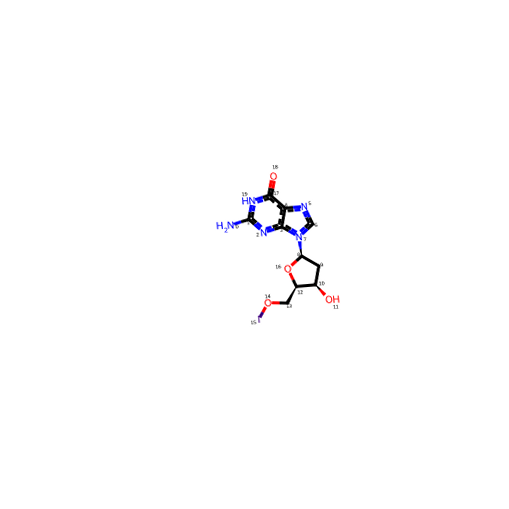 Nc1nc2c(ncn2[C@H]2C[C@@H](O)[C@@H](COI)O2)c(=O)[nH]1